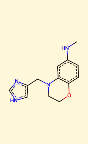 CNc1ccc2c(c1)N(Cc1c[nH]cn1)CCO2